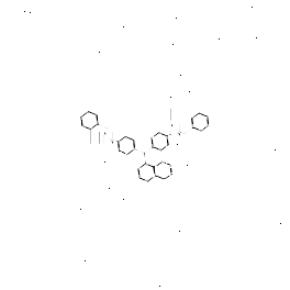 c1ccc(CNc2ccc(C(c3ccc(NCc4ccccc4)cc3)c3cccc4ccccc34)cc2)cc1